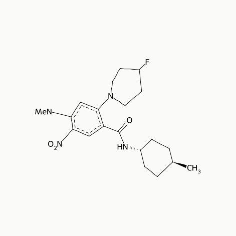 CNc1cc(N2CCC(F)CC2)c(C(=O)N[C@H]2CC[C@H](C)CC2)cc1[N+](=O)[O-]